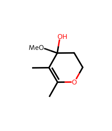 COC1(O)CCOC(C)=C1C